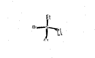 CCS(Br)(CC)CC